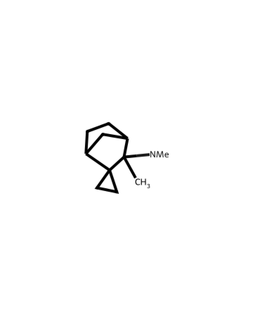 CNC1(C)C2CCC(C2)C12CC2